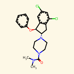 CN(C)C(=O)N1CCN([C@H]2Cc3c(Cl)cc(Cl)cc3[C@@H]2Oc2ccccc2)CC1